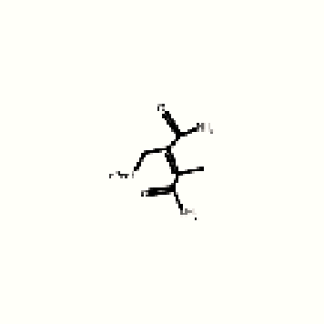 CCCCCCC(C(N)=O)=C(C)C(N)=O